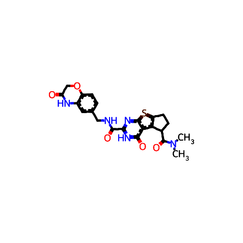 CN(C)C(=O)C1CCc2sc3nc(C(=O)NCc4ccc5c(c4)NC(=O)CO5)[nH]c(=O)c3c21